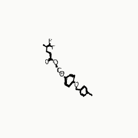 CC(CCC(=O)OCCOc1ccc(OCc2ccc(C)cc2)cc1)=C(F)F